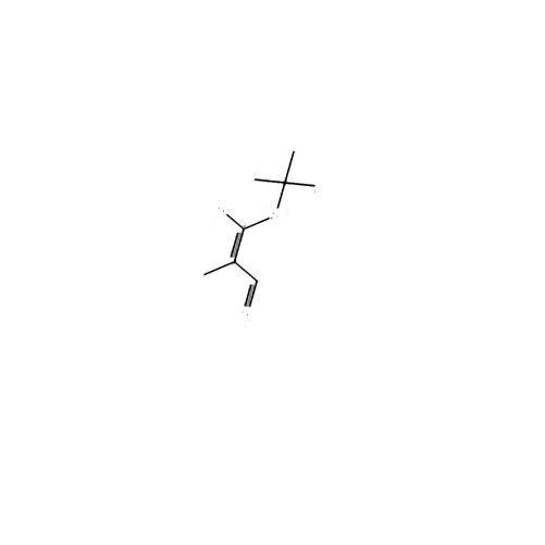 C/C(C=N)=C(\N)NC(C)(C)C